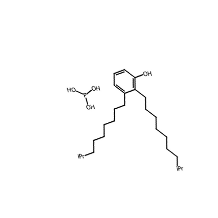 CC(C)CCCCCCCc1cccc(O)c1CCCCCCCC(C)C.OP(O)O